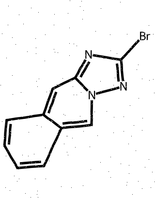 Brc1nc2cc3ccccc3cn2n1